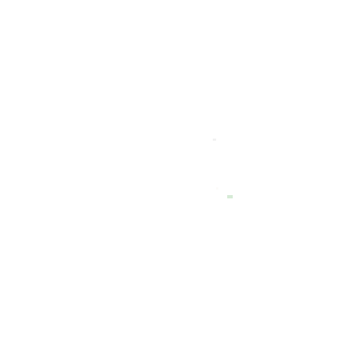 C[SH](F)(F)(F)c1ccc(F)cc1